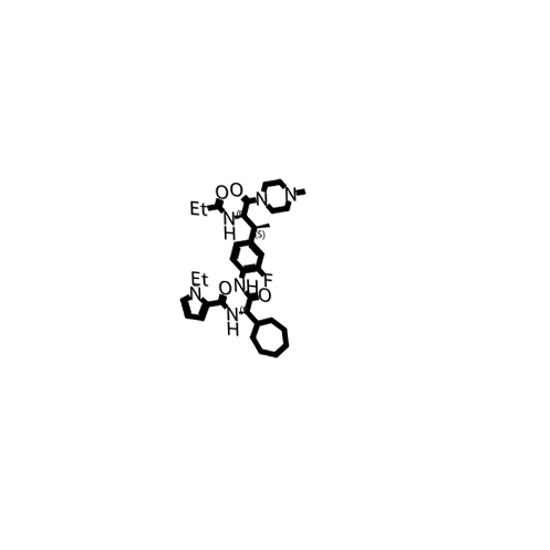 CCC(=O)N[C@@H](C(=O)N1CCN(C)CC1)[C@@H](C)c1ccc(NC(=O)[C@@H](NC(=O)c2cccn2CC)C2CCCCCC2)c(F)c1